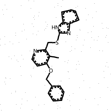 Cc1c(OCc2ccccc2)ccnc1CSc1nc2ccccc2[nH]1